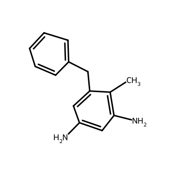 Cc1c(N)cc(N)cc1Cc1ccccc1